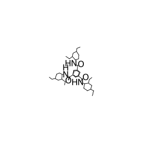 CCC1CCC(NC(=O)c2cc(C(=O)NC3CCC(CC)CC3CC)cc(C(=O)NC3CCC(CC)CC3CC)c2)C(CC)C1